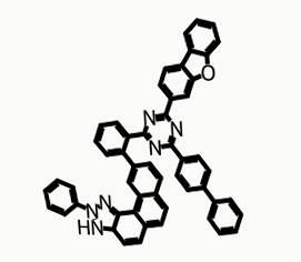 C1=CC2NN(c3ccccc3)N=C2c2c1ccc1ccc(-c3ccccc3-c3nc(-c4ccc(-c5ccccc5)cc4)nc(-c4ccc5c(c4)oc4ccccc45)n3)cc21